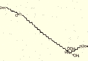 CCCCCCCCCCCCCC=CC=CC(=O)OCCCCCCCCCCCCCCCCCCCCCCCCCCCCCCCCCC(=O)N[C@@H](CO)[C@H](O)CCCCCCCCCCCCCCC